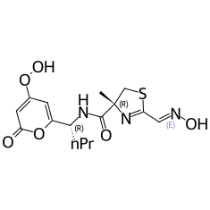 CCC[C@@H](NC(=O)[C@]1(C)CSC(/C=N/O)=N1)c1cc(OO)cc(=O)o1